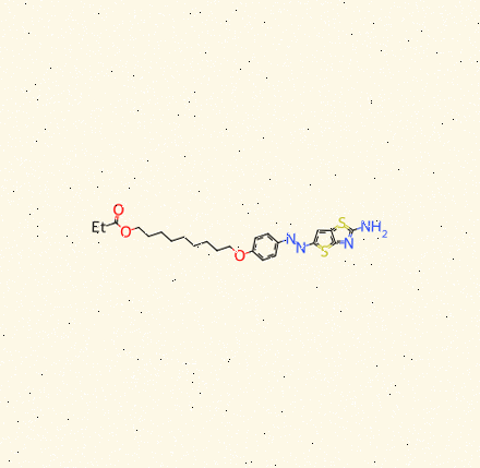 CCC(=O)OCCCCCCCCCOc1ccc(N=Nc2cc3sc(N)nc3s2)cc1